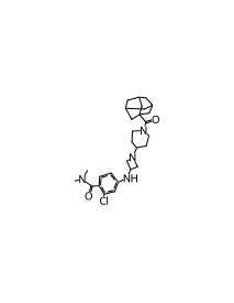 CN(C)C(=O)c1ccc(NC2CN(C3CCN(C(=O)C45CC6CC(CC(C6)C4)C5)CC3)C2)cc1Cl